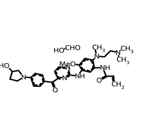 C=CC(=O)Nc1cc(Nc2nccc(C(=O)c3ccc(N4CCC(O)C4)cc3)n2)c(OC)cc1N(C)CCN(C)C.O=CO